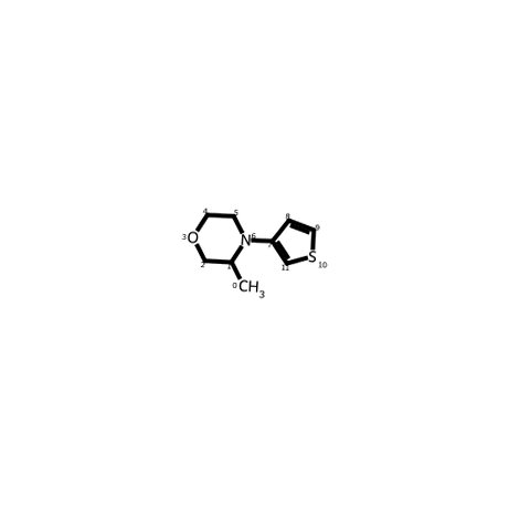 CC1COCCN1c1ccsc1